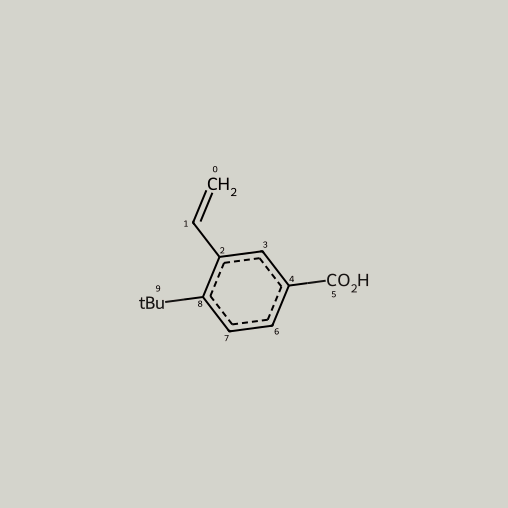 C=Cc1cc(C(=O)O)ccc1C(C)(C)C